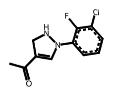 CC(=O)C1=CN(c2cccc(Cl)c2F)NC1